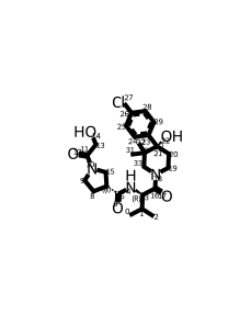 CC(C)[C@@H](NC(=O)[C@@H]1CCN(C(=O)CO)C1)C(=O)N1CC[C@](O)(c2ccc(Cl)cc2)C(C)(C)C1